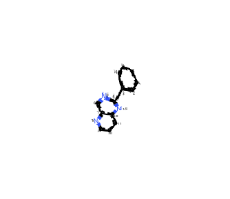 c1ccc(-c2ncc3ncccc3n2)cc1